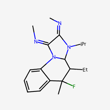 CCC1C2N(C(=N/C)/C(=N\C)N2C(C)C)c2ccccc2C1(C)F